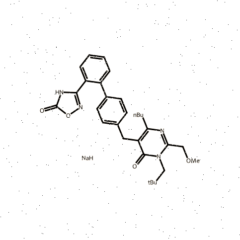 CCCCc1nc(COC)n(CC(C)(C)C)c(=O)c1Cc1ccc(-c2ccccc2-c2noc(=O)[nH]2)cc1.[NaH]